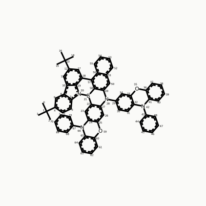 CC(C)(C)c1ccc2c(c1)c1cc(C(C)(C)C)cc3c1n2B1c2cc4c(cc2N(c2ccc5c(c2)Oc2ccccc2N5c2ccccc2)c2cc5ccccc5c-3c21)Oc1ccccc1N4c1ccccc1